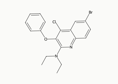 CCN(CC)c1nc2ccc(Br)cc2c(Cl)c1Oc1ccccc1